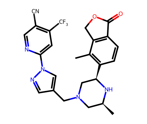 Cc1c([C@@H]2CN(Cc3cnn(-c4cc(C(F)(F)F)c(C#N)cn4)c3)C[C@H](C)N2)ccc2c1COC2=O